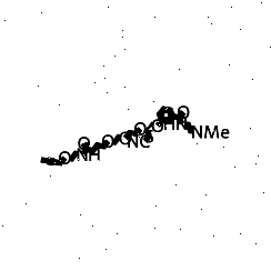 CC#CCOCCNC(=O)CCCOCCOCCO[C@@H](COc1cccc(C(=O)NCCNC)c1)SC#N